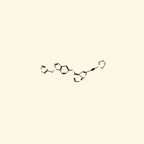 C(#CN1CCCC1)c1cc2c(Nc3ccc4c(ccn4Cc4cscn4)c3)ncnc2s1